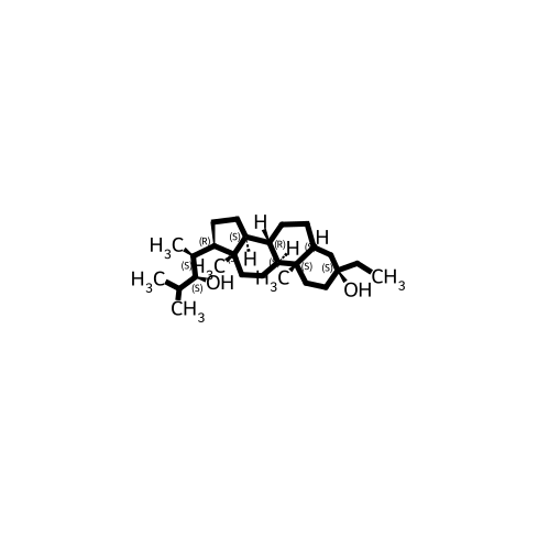 CC[C@]1(O)CC[C@@]2(C)[C@@H](CC[C@@H]3[C@@H]2CC[C@]2(C)[C@@H]([C@H](C)[C@@H](O)C(C)C)CC[C@@H]32)C1